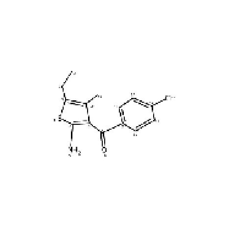 CCc1sc(N)c(C(=O)c2ccc(Cl)cc2)c1C